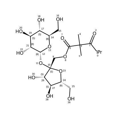 CC(C)C(=O)C(C)(C)C(=O)OC[C@@]1(O[C@H]2O[C@H](CO)[C@@H](O)[C@H](O)[C@H]2O)O[C@H](CO)[C@@H](O)[C@@H]1O